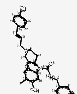 Cc1cc2c3c(n(C(=O)NCc4ccnc(Cl)c4)c2cc1C#N)CCN(CC=Cc1ccc(Cl)cc1)C3